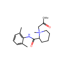 COC(=O)C[N+]1(C)CCCCC1C(=O)Nc1c(C)cccc1C